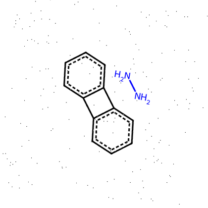 NN.c1ccc2c(c1)-c1ccccc1-2